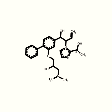 C=CC(C(O)c1ccc(-c2ccccc2)c(OCC(O)CN(C)C)c1)n1ccnc1[C@H](C)O